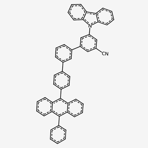 N#Cc1cc(-c2cccc(-c3ccc(-c4c5ccccc5c(-c5ccccc5)c5ccccc45)cc3)c2)cc(-n2c3ccccc3c3ccccc32)c1